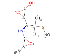 CC(C)(C)C1OC1N[C@@H](C1OC1O)C(C)(C)SN=O